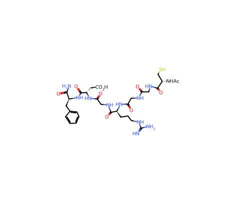 CC(=O)N[C@@H](CS)C(=O)NCC(=O)NCC(=O)N[C@@H](CCCNC(=N)N)C(=O)NCC(=O)N[C@@H](CC(=O)O)C(=O)N[C@@H](Cc1ccccc1)C(N)=O